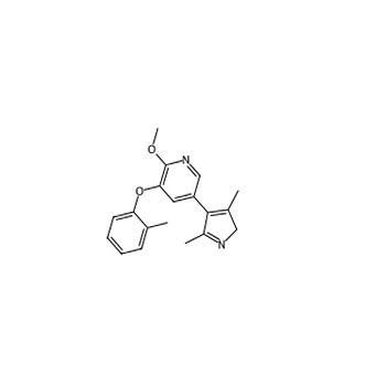 COc1ncc(C2=C(C)CN=C2C)cc1Oc1ccccc1C